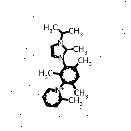 Cc1cc(C)c(-[n+]2ccccc2C)c(C)c1N1C=CN(C(C)C)[C@H]1C